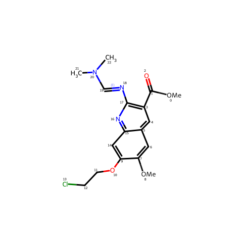 COC(=O)c1cc2cc(OC)c(OCCCl)cc2nc1/N=C/N(C)C